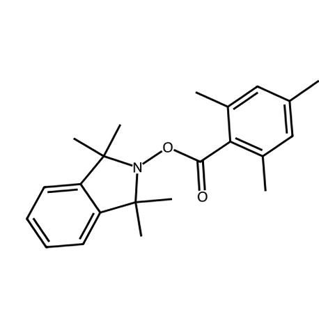 Cc1cc(C)c(C(=O)ON2C(C)(C)c3ccccc3C2(C)C)c(C)c1